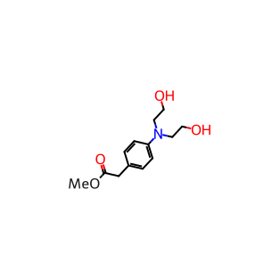 COC(=O)Cc1ccc(N(CCO)CCO)cc1